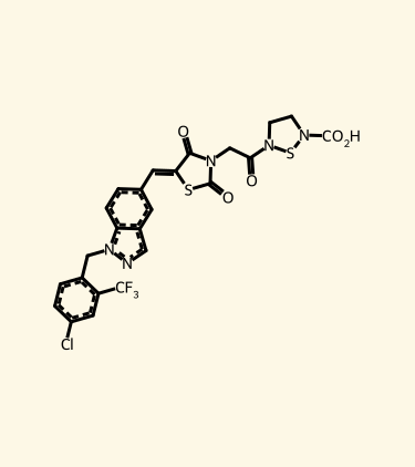 O=C(O)N1CCN(C(=O)CN2C(=O)SC(=Cc3ccc4c(cnn4Cc4ccc(Cl)cc4C(F)(F)F)c3)C2=O)S1